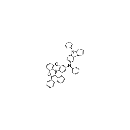 c1ccc(N(c2ccc3c(c2)Oc2cccc4c2B3c2c(c3ccccc3c3ccccc23)O4)c2ccc3c(c2)c2ccccc2n3-c2ccccc2)cc1